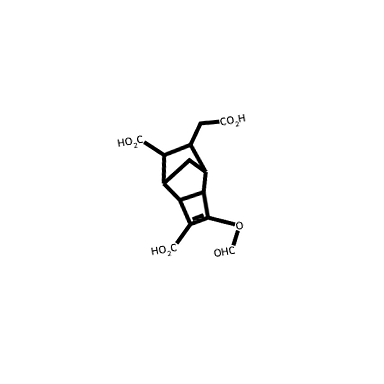 O=COC1=C(C(=O)O)C2C3CC(C(CC(=O)O)C3C(=O)O)C12